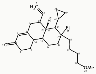 C=CC1CC2=CC(=O)CCC2C2CCC(CC)(CCCCOC)C(C3CC3)[C@@H]12